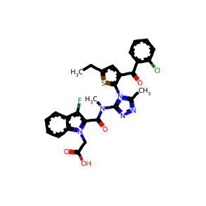 CCc1cc(C(=O)c2ccccc2Cl)c(-n2c(C)nnc2N(C)C(=O)c2c(F)c3ccccc3n2CC(=O)O)s1